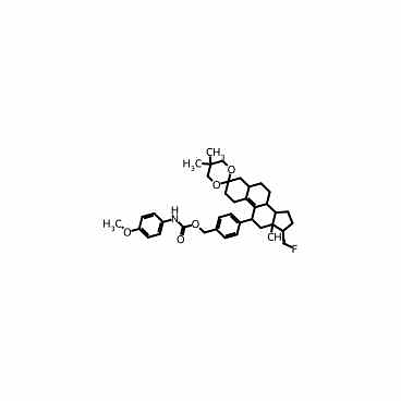 COc1ccc(NC(=O)OCc2ccc(C3CC4(C)C(CF)CCC4C4CCC5CC6(CCC5=C34)OCC(C)(C)CO6)cc2)cc1